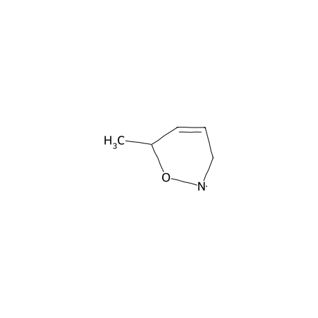 CC1C=CC[N]O1